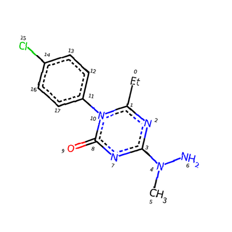 CCc1nc(N(C)N)nc(=O)n1-c1ccc(Cl)cc1